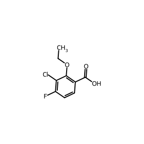 CCOc1c(C(=O)O)ccc(F)c1Cl